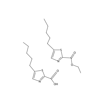 CCCCCc1cnc(C(=O)O)s1.CCCCCc1cnc(C(=O)OCC)s1